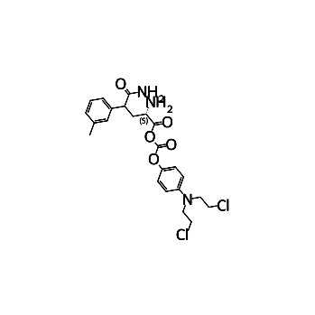 Cc1cccc(C(C[C@H](N)C(=O)OC(=O)Oc2ccc(N(CCCl)CCCl)cc2)C(N)=O)c1